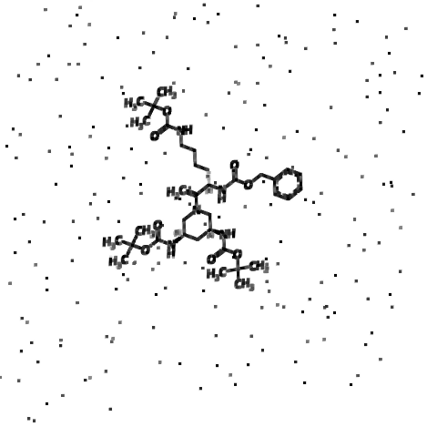 C=C([C@H](CCCCNC(=O)OC(C)(C)C)NC(=O)OCc1ccccc1)N1C[C@H](NC(=O)OC(C)(C)C)C[C@H](NC(=O)OC(C)(C)C)C1